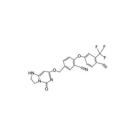 C#Cc1ccc(Oc2ccc(COc3cc4n(c(=O)n3)CCN4)cc2C#N)cc1C(F)(F)F